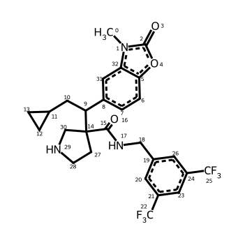 Cn1c(=O)oc2ccc(C(CC3CC3)C3(C(=O)NCc4cc(C(F)(F)F)cc(C(F)(F)F)c4)CCNC3)cc21